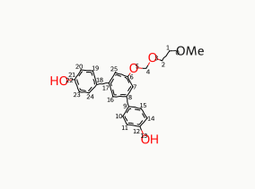 COCCOCOc1cc(-c2ccc(O)cc2)cc(-c2ccc(O)cc2)c1